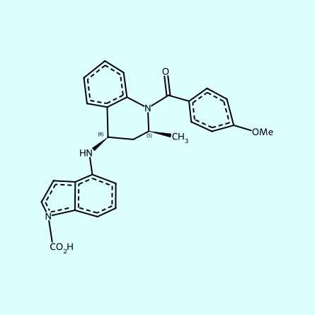 COc1ccc(C(=O)N2c3ccccc3[C@H](Nc3cccc4c3ccn4C(=O)O)C[C@@H]2C)cc1